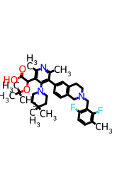 Cc1ccc(F)c(CN2CCc3cc(-c4c(C)nc(C)c(C(OC(C)(C)C)C(=O)O)c4N4CCC(C)(C)CC4)ccc3C2)c1F